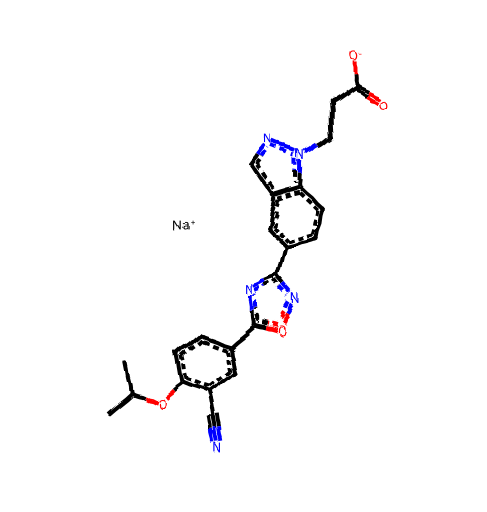 CC(C)Oc1ccc(-c2nc(-c3ccc4c(cnn4CCC(=O)[O-])c3)no2)cc1C#N.[Na+]